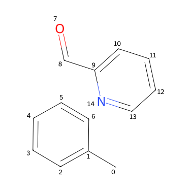 Cc1ccccc1.O=Cc1ccccn1